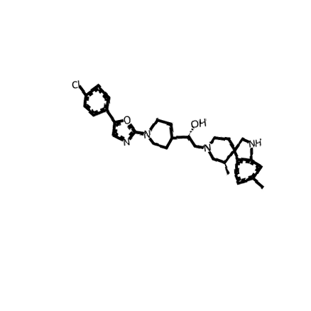 Cc1ccc2c(c1)NCC21CCN(C[C@@H](O)C2CCN(c3ncc(-c4ccc(Cl)cc4)o3)CC2)C[C@@H]1C